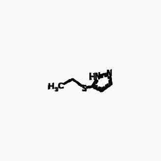 CCSc1ccn[nH]1